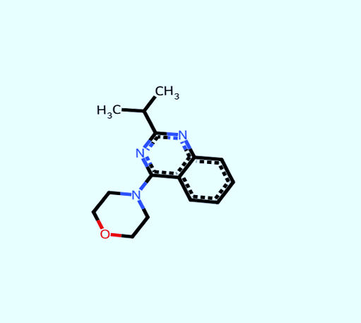 CC(C)c1nc(N2CCOCC2)c2ccccc2n1